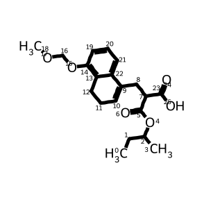 CCC(C)OC(=O)C(CC1=CCCc2c(OCOC)cccc21)C(=O)O